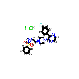 CN(CCN1CCN(c2nccnc2-c2ccc(F)cc2)CC1)S(=O)(=O)c1ccccc1.Cl